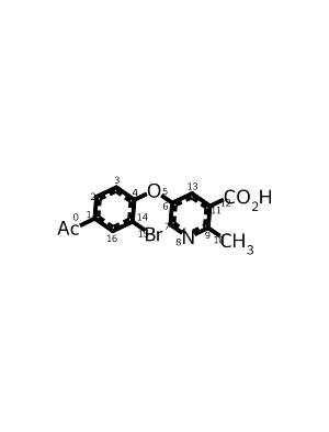 CC(=O)c1ccc(Oc2cnc(C)c(C(=O)O)c2)c(Br)c1